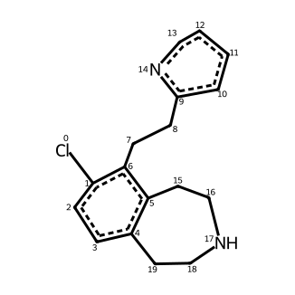 Clc1ccc2c(c1CCc1ccccn1)CCNCC2